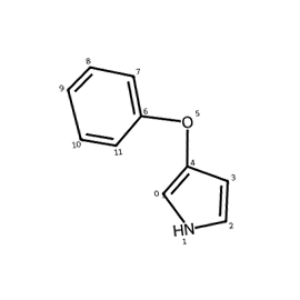 [c]1[nH]ccc1Oc1ccccc1